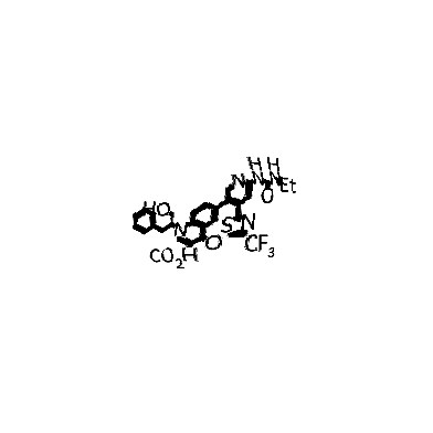 CCNC(=O)Nc1cc(-c2nc(C(F)(F)F)cs2)c(-c2ccc3c(c2)c(=O)c(C(=O)O)cn3[C@H](CO)Cc2ccccc2)cn1